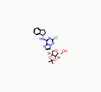 CC1(C)O[C@@H]2[C@H](O1)[C@@H](CO)O[C@H]2c1cnc2c(N[C@H]3CCc4ccccc43)nc(Cl)nn12